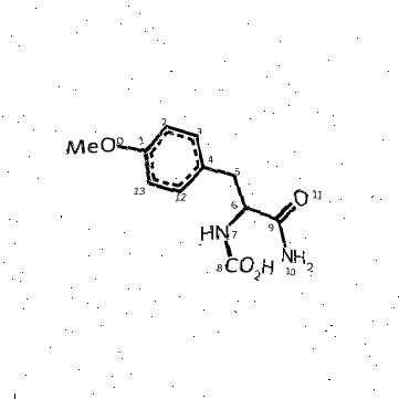 COc1ccc(CC(NC(=O)O)C(N)=O)cc1